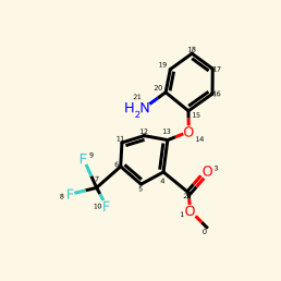 COC(=O)c1cc(C(F)(F)F)ccc1Oc1ccccc1N